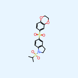 CC(C)S(=O)(=O)N1CCc2cc(S(=O)(=O)c3ccc4c(c3)OCCO4)ccc21